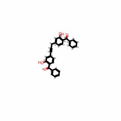 O=C(c1ccccc1)c1ccc(C#CCc2ccc(C(=O)c3ccccc3)c(O)c2)cc1O